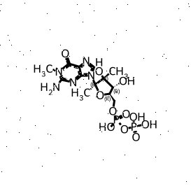 Cn1c(N)nc2c(ncn2[C@]2(C)O[C@H](COP(=O)(O)OP(=O)(O)O)[C@@H](O)[C@@]2(C)O)c1=O